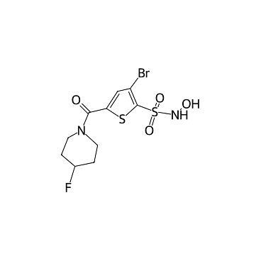 O=C(c1cc(Br)c(S(=O)(=O)NO)s1)N1CCC(F)CC1